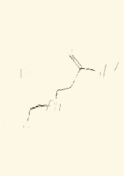 Cl.O=C(O)CCPCO